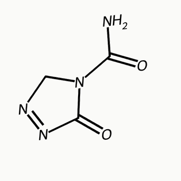 NC(=O)N1CN=NC1=O